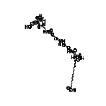 CN[C@@H](CCCCNC(=O)COCCOCCNC(=O)COCCOCCNC(=O)CC[C@@H](NC(=O)CCCCCCCCCCCCCCCCC(=O)O)C(=O)O)C(=O)CN[C@@H](Cc1ccc(O)cc1)C(N)=O